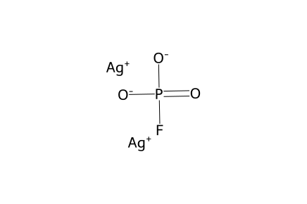 O=P([O-])([O-])F.[Ag+].[Ag+]